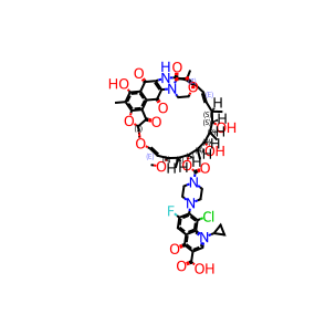 CO[C@H]1/C=C/O[C@@]2(C)Oc3c(C)c(O)c4c(c3C2=O)C(=O)C(N2CCOCC2)=C(NC(=O)/C(C)=C\C=C\[C@H](C)[C@H](O)[C@@H](C)[C@@H](O)[C@@H](C)[C@H](OC(=O)N2CCN(c3c(F)cc5c(=O)c(C(=O)O)cn(C6CC6)c5c3Cl)CC2)[C@@H]1C)C4=O